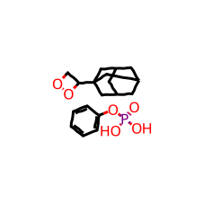 C1C2CC3CC1CC(C1COO1)(C2)C3.O=P(O)(O)Oc1ccccc1